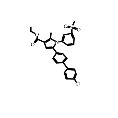 CCOC(=O)c1cc(-c2ccc(-c3ccc(Cl)cc3)cc2)n(-c2cccc(S(C)(=O)=O)c2)c1C